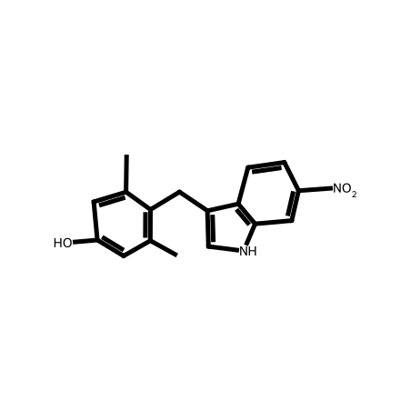 Cc1cc(O)cc(C)c1Cc1c[nH]c2cc([N+](=O)[O-])ccc12